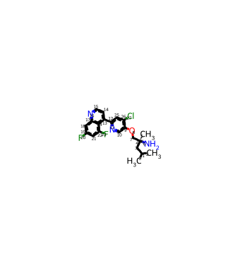 CC(C)C[C@](C)(N)COc1cnc(-c2ccnc3cc(F)cc(F)c23)cc1Cl